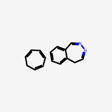 C1=CC=CCC=C1.C1=NN=Cc2ccccc2C1